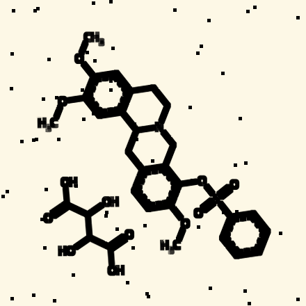 COc1cc2c(cc1OC)C1Cc3ccc(OC)c(OS(=O)(=O)c4ccccc4)c3CN1CC2.O=C(O)C(O)C(O)C(=O)O